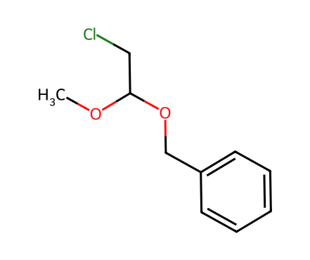 COC(CCl)OCc1ccccc1